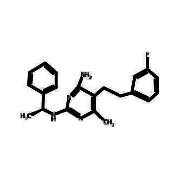 Cc1nc(N[C@@H](C)c2ccccc2)nc(N)c1CCc1cccc(F)c1